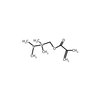 C=C(C)C(=O)OC[Si](C)(C)N(C)C